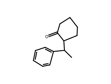 CC(c1ccccc1)C1CCCCC1=O